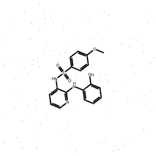 COc1ccc(S(=O)(=O)Nc2cccnc2Nc2ccccc2O)cc1